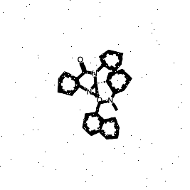 CN(Cc1cccc2ccccc12)c1ccccc1[C@]12C(=O)N1c1ccccc1C(=O)N2c1ccccc1